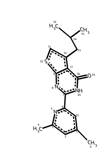 Cc1cc(C)nc(-c2nc3scc(CC(C)C)c3c(=O)[nH]2)c1